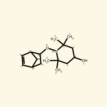 CC1(C)CC(O)CC(C)(C)N1OC1CC2C=CC1C2